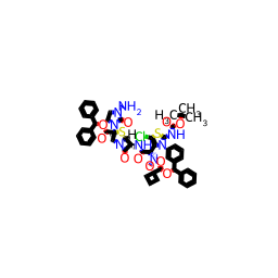 CC(C)(C)OC(=O)Nc1nc(/C(=N/OC2(C(=O)OC(c3ccccc3)c3ccccc3)CCC2)C(=O)N[C@@H]2C(=O)N3C[C@@](C(=O)OC(c4ccccc4)c4ccccc4)(N4CCN(N)C4=O)S[C@H]23)c(Cl)s1